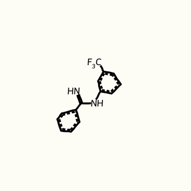 N=C(Nc1cccc(C(F)(F)F)c1)c1ccccc1